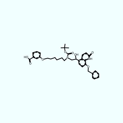 CC(C)(C)OC(=O)N(CCCCCCOc1cccc(C(=O)O)c1)CC(O)c1ccc(OCc2ccccc2)c2[nH]c(=O)ccc12